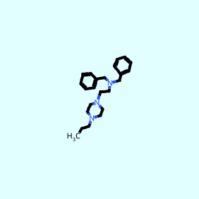 CCCN1CCN(CCN(Cc2ccccc2)Cc2ccccc2)CC1